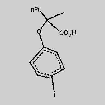 CCCC(C)(Oc1ccc(I)cc1)C(=O)O